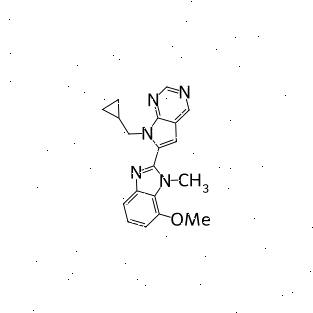 COc1cccc2nc(-c3cc4cncnc4n3CC3CC3)n(C)c12